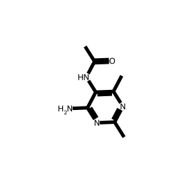 CC(=O)Nc1c(C)nc(C)nc1N